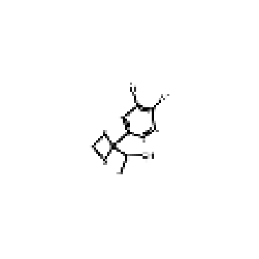 [CH2]C(O)C1(c2ccc(Cl)c(Cl)c2)CCC1